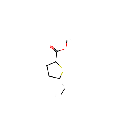 CC(C)(C)OC(=O)[C@@H]1CC[C@@H](CC=O)S1